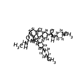 CCNC(=O)Nn1c(-c2ccc(N3CCN(C)CC3)cc2)c(-c2ccc(C(=O)NC3CCN(C)CC3)cc2)c2c(Cl)ccnc21